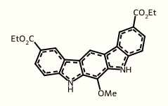 CCOC(=O)c1ccc2[nH]c3c(OC)c4[nH]c5ccc(C(=O)OCC)cc5c4cc3c2c1